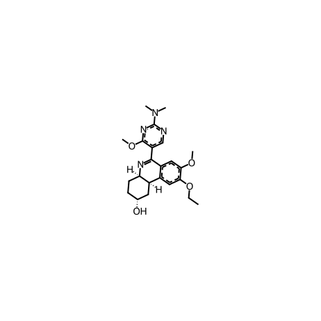 CCOc1cc2c(cc1OC)C(c1cnc(N(C)C)nc1OC)=N[C@@H]1CC[C@@H](O)C[C@H]21